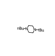 CCCCN1CCN(C(C)(C)C)CC1